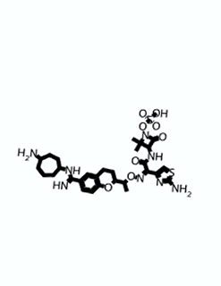 CC(O/N=C(\C(=O)NC1C(=O)N(OS(=O)(=O)O)C1(C)C)c1csc(N)n1)C1CCc2cc(C(=N)NC3CCCC(N)CC3)ccc2O1